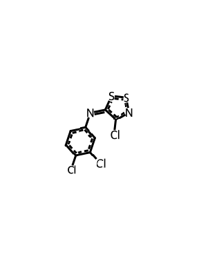 Clc1ccc(N=c2ssnc2Cl)cc1Cl